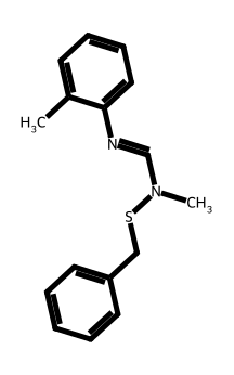 Cc1ccccc1N=CN(C)SCc1ccccc1